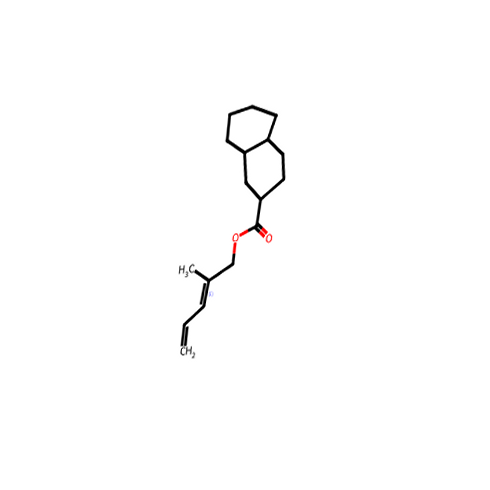 C=C/C=C(\C)COC(=O)C1CCC2CCCCC2C1